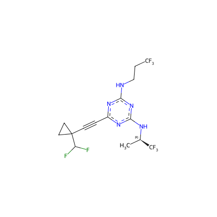 C[C@@H](Nc1nc(C#CC2(C(F)F)CC2)nc(NCCC(F)(F)F)n1)C(F)(F)F